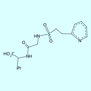 CC(C)C(NC(=O)CNS(=O)(=O)CCc1ccccn1)C(=O)O